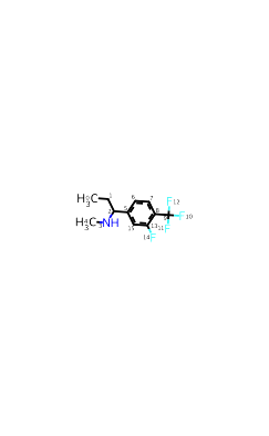 CCC(NC)c1ccc(C(F)(F)F)c(F)c1